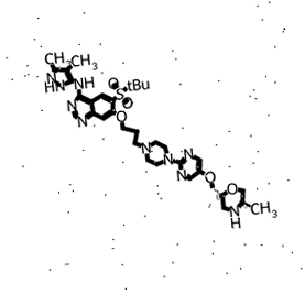 Cc1n[nH]c(Nc2ncnc3cc(OCCCN4CCN(c5ncc(OC[C@H]6CN[C@H](C)CO6)cn5)CC4)c(S(=O)(=O)C(C)(C)C)cc23)c1C